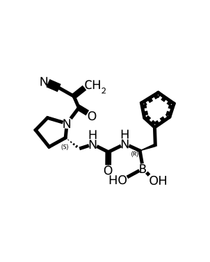 C=C(C#N)C(=O)N1CCC[C@H]1CNC(=O)N[C@@H](Cc1ccccc1)B(O)O